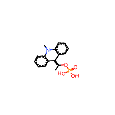 CC(OP(=O)(O)O)=C1c2ccccc2N(C)c2ccccc21